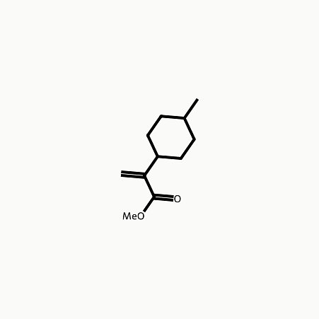 C=C(C(=O)OC)C1CCC(C)CC1